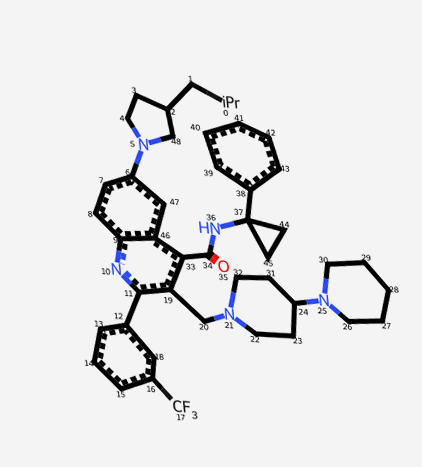 CC(C)CC1CCN(c2ccc3nc(-c4cccc(C(F)(F)F)c4)c(CN4CCC(N5CCCCC5)CC4)c(C(=O)NC4(c5ccccc5)CC4)c3c2)C1